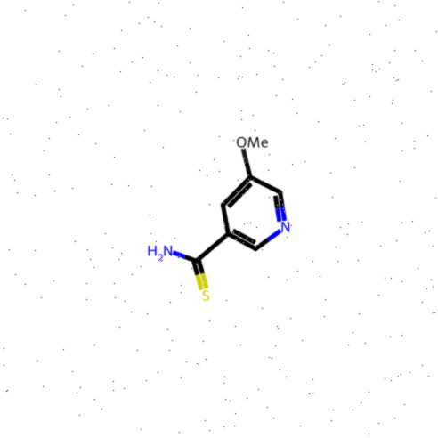 COc1cncc(C(N)=S)c1